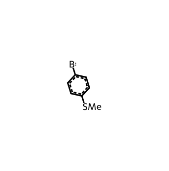 [B]c1ccc(SC)cc1